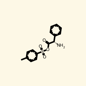 Cc1ccc(S(=O)(=O)OC(=O)[C@@H](N)c2ccccc2)cc1